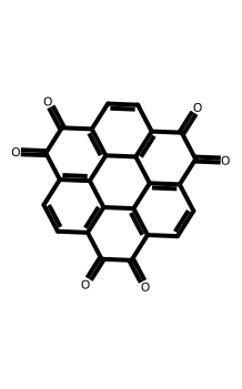 O=c1c(=O)c2ccc3c(=O)c(=O)c4ccc5c(=O)c(=O)c6ccc1c1c2c3c4c5c61